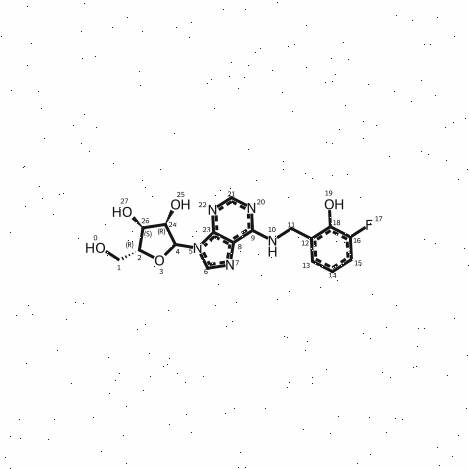 OC[C@H]1OC(n2cnc3c(NCc4cccc(F)c4O)ncnc32)[C@H](O)[C@@H]1O